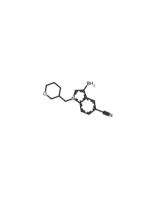 Bc1cn(CC2CCCOC2)c2ccc(C#N)cc12